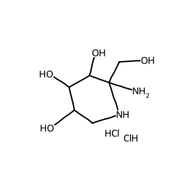 Cl.Cl.NC1(CO)NCC(O)C(O)C1O